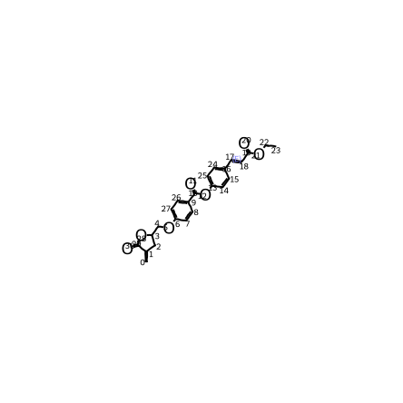 C=C1CC(COc2ccc(C(=O)Oc3ccc(/C=C/C(=O)OCC)cc3)cc2)OC1=O